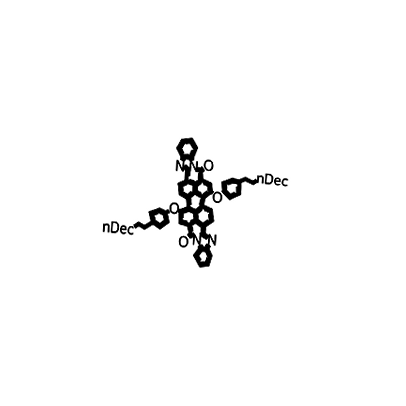 CCCCCCCCCCCCc1ccc(Oc2cc3c(=O)n4c5ccccc5nc4c4ccc5c6c(Oc7ccc(CCCCCCCCCCCC)cc7)cc7c(=O)n8c9ccccc9nc8c8ccc(c2c5c34)c6c78)cc1